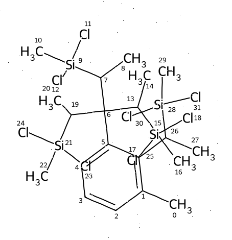 Cc1cccc(C(C(C)[Si](C)(Cl)Cl)(C(C)[Si](C)(Cl)Cl)C(C)[Si](C)(Cl)Cl)c1C(C)[Si](C)(Cl)Cl